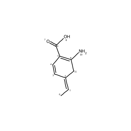 CC=C1C=CC(C(=O)O)=C(N)C1